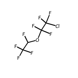 FC(OC(F)(F)C(F)(F)Cl)C(F)(F)F